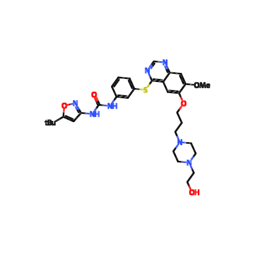 COc1cc2ncnc(Sc3cccc(NC(=O)Nc4cc(C(C)(C)C)on4)c3)c2cc1OCCCN1CCN(CCO)CC1